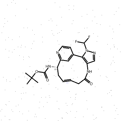 CC(C)(C)OC(=O)N[C@H]1C/C=C/CC(=O)Nc2cnn(C(F)F)c2-c2ccnc1c2